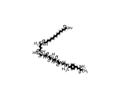 CCC(=O)[C@@H](N)CCc1ccc(/C(C)=N/OCCNC(=O)CNC(=O)CNC(=O)CNC(=O)CNC(=O)[C@H](CO)NC(=O)CC[C@@H](C)NC(=O)CCCCCCCCCCCCCC(=O)O)cc1